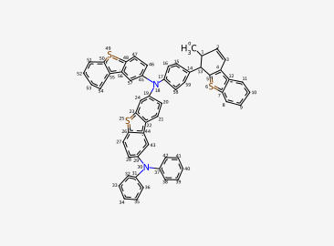 CC1C=Cc2c(sc3ccccc23)C1c1ccc(N(c2ccc3c(c2)sc2ccc(N(c4ccccc4)c4ccccc4)cc23)c2ccc3sc4ccccc4c3c2)cc1